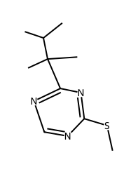 CSc1ncnc(C(C)(C)C(C)C)n1